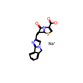 O=C([O-])C1=CSC2/C(=C\c3cn4c(n3)-c3ccccc3C4)C(=O)N12.[Na+]